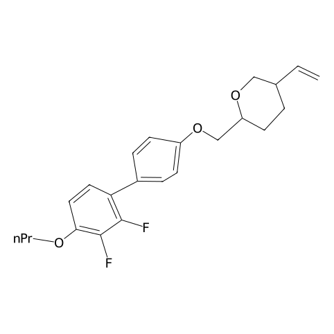 C=CC1CCC(COc2ccc(-c3ccc(OCCC)c(F)c3F)cc2)OC1